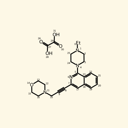 CCN1CCN(c2nc(C#CCN3CCOCC3)cc3ccccc23)CC1.O=C(O)C(=O)O